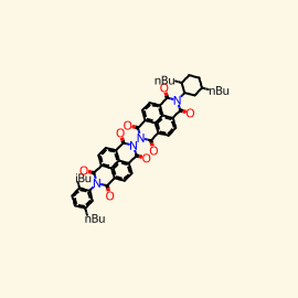 CCCCc1ccc(C(C)CC)c(N2C(=O)c3ccc4c5c(ccc(c35)C2=O)C(=O)N(N2C(=O)c3ccc5c6c(ccc(c36)C2=O)C(=O)N(C2CC(CCCC)CCC2CCCC)C5=O)C4=O)c1